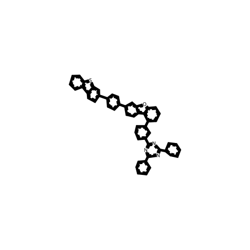 c1ccc(-c2nc(-c3ccccc3)nc(-c3cccc(-c4cccc5oc6cc(-c7ccc(-c8ccc9c(c8)sc8ccccc89)cc7)ccc6c45)c3)n2)cc1